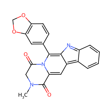 CN1CC(=O)n2c(cc3c4ccccc4nc-3c2-c2ccc3c(c2)OCO3)C1=O